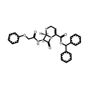 O=C(COc1ccccc1)N[C@@H]1C(=O)N2C(C(=O)OC(c3ccccc3)c3ccccc3)=CCS[C@@H]12